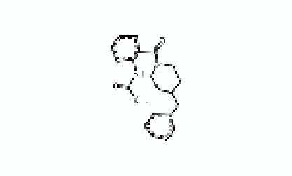 CC(=O)Nc1ccccc1C(=O)N1CCC(Cc2ccccc2)CC1